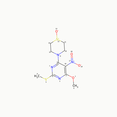 COc1nc(SC)nc(N2CC[S+]([O-])CC2)c1[N+](=O)[O-]